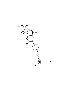 O=C(O)c1c[nH]c2cc(N3CCN(CC=NO)CC3)c(F)cc2c1=O